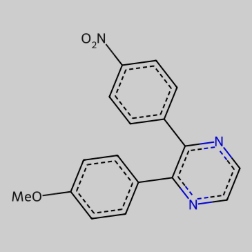 COc1ccc(-c2nccnc2-c2ccc([N+](=O)[O-])cc2)cc1